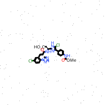 COC(=O)Nc1ccc(-c2nc([C@H](CC(=O)O)NC(=O)/C=C/c3cc(Cl)ccc3-n3cnnn3)[nH]c2Cl)cc1